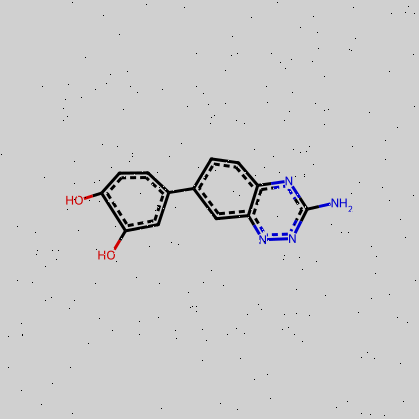 Nc1nnc2cc(-c3ccc(O)c(O)c3)ccc2n1